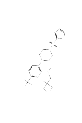 CC1(CNC[C@H]2CN(S(=O)(=O)c3cccs3)CCN2c2ccc(C(C)(C)O)cc2)COC1